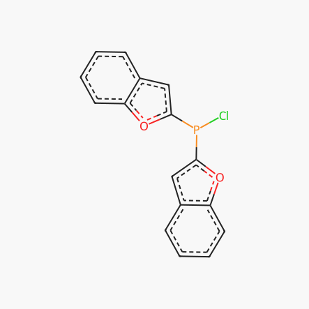 ClP(c1cc2ccccc2o1)c1cc2ccccc2o1